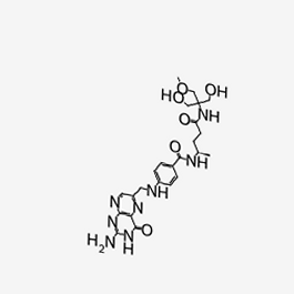 COCC(CO)(CO)NC(=O)CC[C@@H](C)NC(=O)c1ccc(NCc2cnc3nc(N)[nH]c(=O)c3n2)cc1